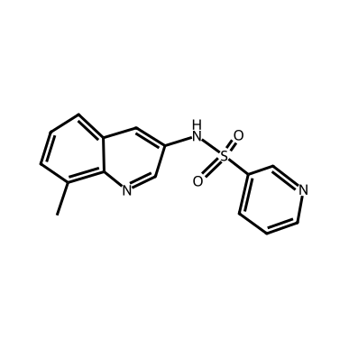 Cc1cccc2cc(NS(=O)(=O)c3cccnc3)cnc12